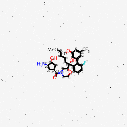 CCOc1cc(-c2c(F)cccc2[C@](O)(CCCCOC)C2CN(C(=O)[C@H]3C[C@@H](N)[C@@H](O)C3)CCO2)cc(C(F)(F)F)c1